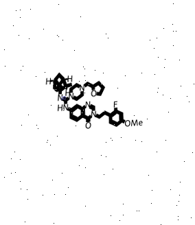 COc1ccc(CCn2cnc3cc(N/C(=N/C4C[C@@H]5C[C@H]([C@@H]4C)C5(C)C)N4CCN(CC5CCCO5)CC4)ccc3c2=O)c(F)c1